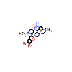 CN1CCN(C2CCN(C(=O)C(Cc3ccc(Br)c(Br)c3)[C@H]3CC(N4Cc5sccc5NC4=O)CCN3C(=O)O)CC2)CC1